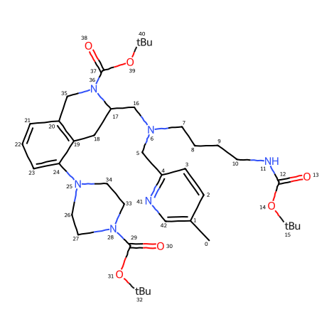 Cc1ccc(CN(CCCCNC(=O)OC(C)(C)C)CC2Cc3c(cccc3N3CCN(C(=O)OC(C)(C)C)CC3)CN2C(=O)OC(C)(C)C)nc1